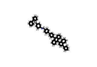 C(=C\c1ccc(-n2c3ccccc3c3ccccc32)cc1)/c1ccc(-c2ccc(-c3c4ccccc4c(-c4ccc(-c5ccccc5)c5ccccc45)c4ccccc34)cc2)cc1